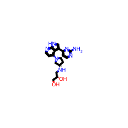 Nc1nccc(-c2c[nH]c3nccc(N4CC[C@H](NC[C@H](O)CO)C4)c23)n1